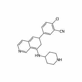 N#Cc1cc(C2C=c3ccncc3=C(NC3CCNCC3)C2)ccc1Cl